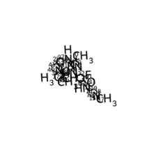 Cc1cnc(Nc2ccc(C(=O)NC3CCN(C)CC3)c(F)c2)nc1Nc1ccc2c(c1)N([S+]([O-])C(C)(C)C)CCC2